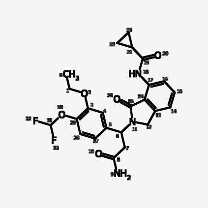 CCOc1cc(C(CC(N)=O)N2Cc3cccc(NC(=O)C4CC4)c3C2=O)ccc1OC(F)F